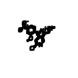 CNCc1nn(-c2ccc([N+](=O)[O-])cc2OC)c2cc(Cl)ncc12